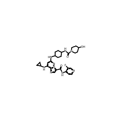 O=C(Nc1ccncc1F)c1cnc2c(NC3CC3)cc(NC3CCC(NC(=O)N4CCC(O)CC4)CC3)nn12